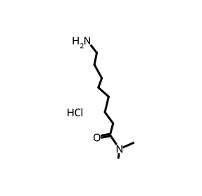 CN(C)C(=O)CCCCCCCN.Cl